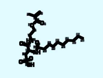 C=C(C)C(=O)OCCNC(=O)C(CS(=O)(=O)O)NC(=O)CCCCCCCCC